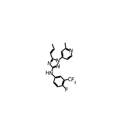 CC=Cc1nc(Nc2ccc(F)c(C(F)(F)F)c2)nn1-c1ccnc(C)c1